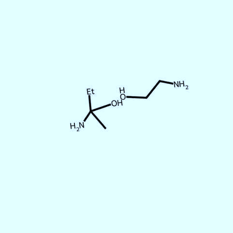 CCC(C)(N)O.NCCO